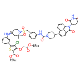 CC(C)(C)OC(=O)COc1c(C(=O)OC(C)(C)C)sc(-c2cccc(N[C@H]3CCN(S(=O)(=O)Cc4cccc(NC(=O)N5CCC(c6ccc7c8c(cccc68)N(C6CCC(=O)NC6=O)C7=O)CC5)c4)C(C)(C)C3)c2)c1Cl